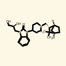 CC1(C)[C@H]2CC[C@H](C2)[C@H]1CN1CCC(n2c(=O)n(C[C@H](O)CO)c3ccccc32)CC1